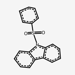 O=S(=O)(c1ccccc1)n1c2ccccc2c2ccccc21